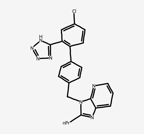 CCCc1nc2cccnc2n1Cc1ccc(-c2ccc(Cl)cc2-c2nnn[nH]2)cc1